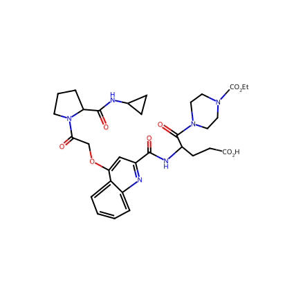 CCOC(=O)N1CCN(C(=O)C(CCC(=O)O)NC(=O)c2cc(OCC(=O)N3CCCC3C(=O)NC3CC3)c3ccccc3n2)CC1